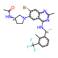 CC(=O)N[C@@H]1CCN(c2cc3c(N[C@H](C)c4cccc(C(F)(F)F)c4C)nc(C)nc3cc2Br)C1